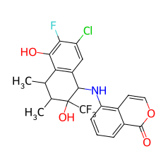 CC1c2c(cc(Cl)c(F)c2O)C(Nc2cccc3c(=O)occc23)C(O)(C(F)(F)F)C1C